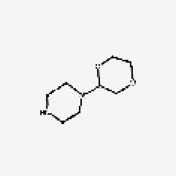 C1CN([C]2COCCO2)CCN1